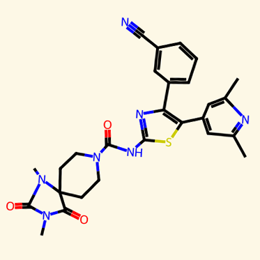 Cc1cc(-c2sc(NC(=O)N3CCC4(CC3)C(=O)N(C)C(=O)N4C)nc2-c2cccc(C#N)c2)cc(C)n1